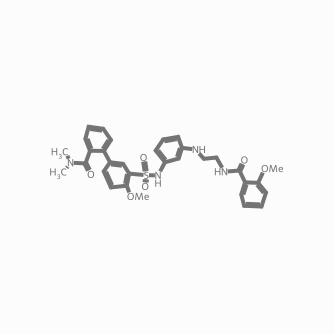 COc1ccccc1C(=O)NCCNc1cccc(NS(=O)(=O)c2cc(-c3ccccc3C(=O)N(C)C)ccc2OC)c1